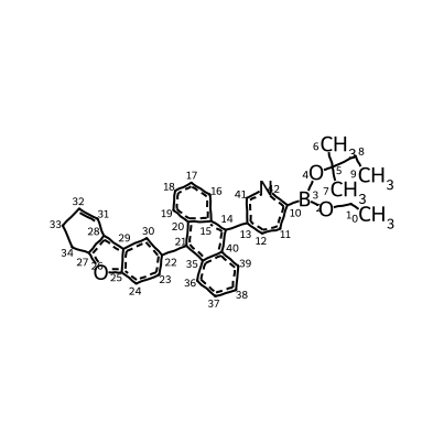 CCOB(OC(C)(C)CC)c1ccc(-c2c3ccccc3c(-c3ccc4oc5c(c4c3)C=CCC5)c3ccccc23)cn1